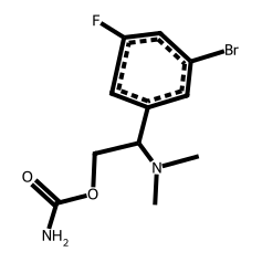 CN(C)C(COC(N)=O)c1cc(F)cc(Br)c1